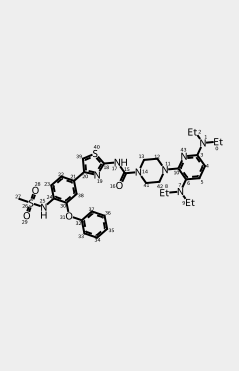 CCN(CC)c1ccc(N(CC)CC)c(N2CCN(C(=O)Nc3nc(-c4ccc(NS(C)(=O)=O)c(Oc5ccccc5)c4)cs3)CC2)n1